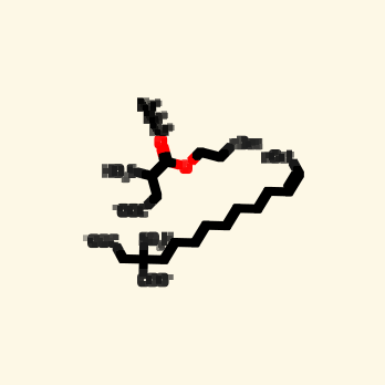 CCCCCCCC/C=C\CCCCCCCCC(CC(=O)[O-])(C(=O)[O-])S(=O)(=O)O.CCCCCCCCCCCCOC(=O)C(CC(=O)[O-])S(=O)(=O)O.[Na+].[Na+].[Na+]